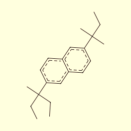 CCC(C)(C)c1ccc2cc(C(C)(CC)CC)ccc2c1